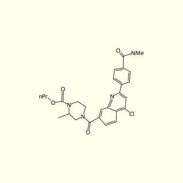 CCCOC(=O)N1CCN(C(=O)c2ccc3c(Cl)cc(-c4ccc(C(=O)NC)cc4)nc3c2)CC1C